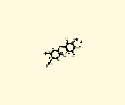 Cc1c(I)c(N)c(F)c(F)c1Oc1ccc(F)c(C#N)c1